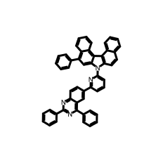 c1ccc(-c2nc(-c3ccccc3)c3cc(-c4cccc(-n5c6ccc7ccccc7c6c6c7ccccc7c(-c7ccccc7)cc65)n4)ccc3n2)cc1